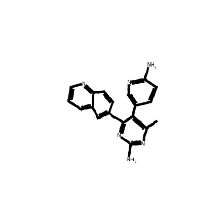 Cc1nc(N)nc(-c2ccc3ncccc3c2)c1-c1ccc(N)nc1